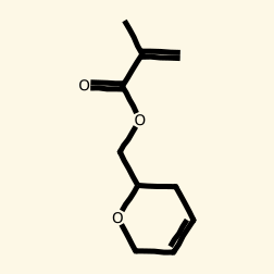 C=C(C)C(=O)OCC1CC=CCO1